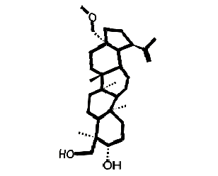 C=C(C)[C@@H]1CC[C@]2(COC)CC[C@]3(C)C(CCC4[C@@]5(C)CC[C@H](O)[C@@](C)(CO)C5CC[C@]43C)C12